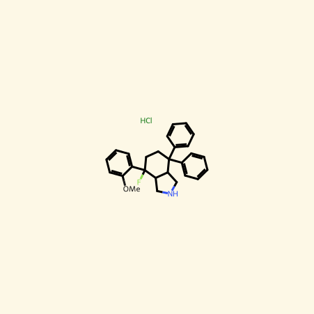 COc1ccccc1C1(F)CCC(c2ccccc2)(c2ccccc2)C2CNCC21.Cl